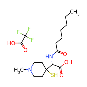 CCCCCCC(=O)N[C@H](C(=O)O)C1(S)CCN(C)CC1.O=C(O)C(F)(F)F